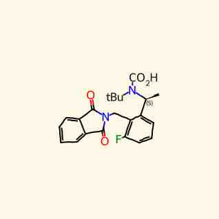 C[C@@H](c1cccc(F)c1CN1C(=O)c2ccccc2C1=O)N(C(=O)O)C(C)(C)C